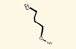 [2H]O[C]CCCC